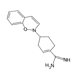 N=C(N)C1=CCC(N2C=Cc3ccccc3O2)CC1